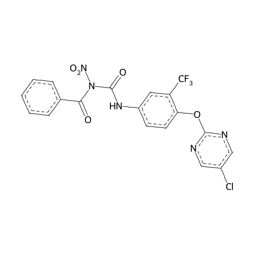 O=C(Nc1ccc(Oc2ncc(Cl)cn2)c(C(F)(F)F)c1)N(C(=O)c1ccccc1)[N+](=O)[O-]